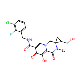 CCN1C(=O)c2c(O)c(=O)c(C(=O)NCc3cccc(Cl)c3F)cn2C[C@]12CC2CO